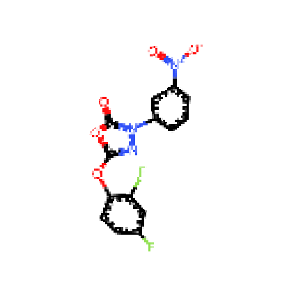 O=c1oc(Oc2ccc(F)cc2F)nn1-c1cccc([N+](=O)[O-])c1